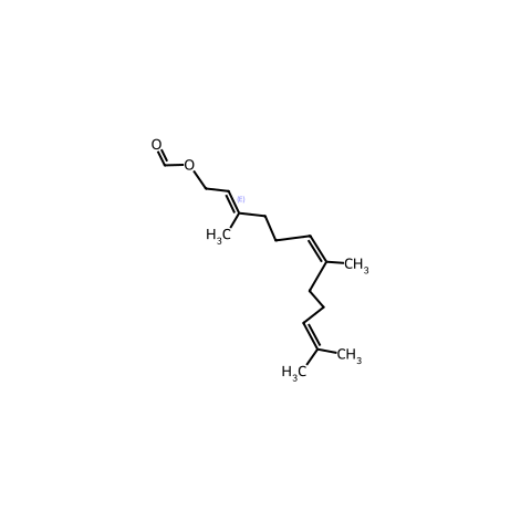 CC(C)=CCCC(C)=CCC/C(C)=C/COC=O